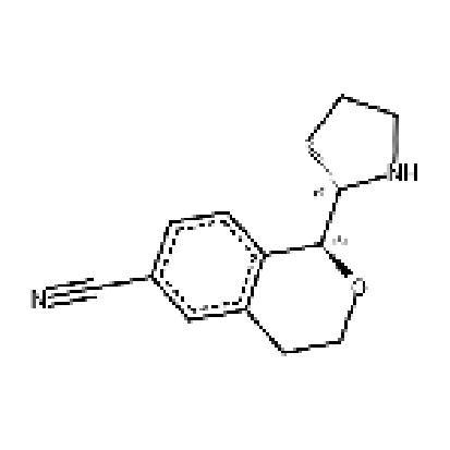 N#Cc1ccc2c(c1)CCO[C@@H]2[C@@H]1CCCN1